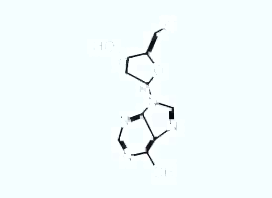 Oc1ncnc2c1ncn2[C@H]1C[C@H](O)C(=CCl)O1